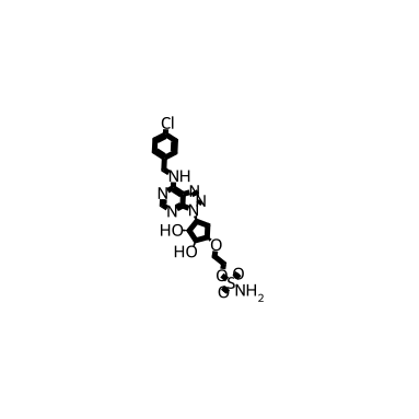 NS(=O)(=O)OCCO[C@@H]1C[C@H](n2nnc3c(NCc4ccc(Cl)cc4)ncnc32)[C@@H](O)[C@H]1O